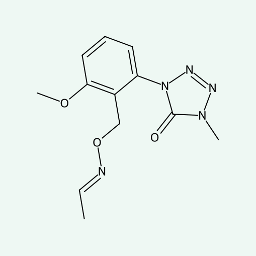 CC=NOCc1c(OC)cccc1-n1nnn(C)c1=O